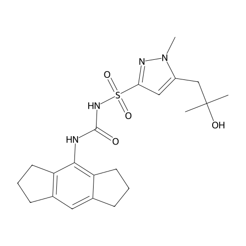 Cn1nc(S(=O)(=O)NC(=O)Nc2c3c(cc4c2CCC4)CCC3)cc1CC(C)(C)O